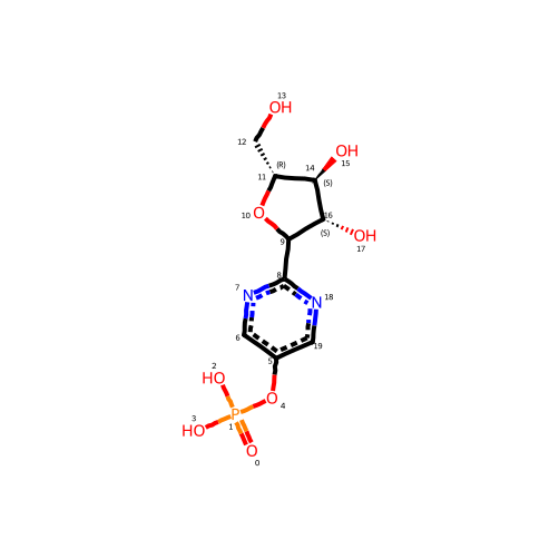 O=P(O)(O)Oc1cnc(C2O[C@H](CO)[C@@H](O)[C@@H]2O)nc1